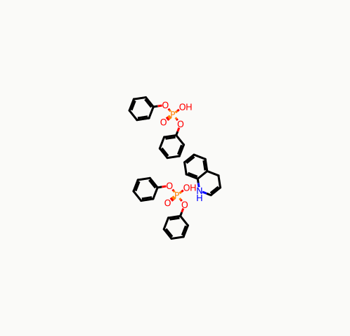 C1=CNc2ccccc2C1.O=P(O)(Oc1ccccc1)Oc1ccccc1.O=P(O)(Oc1ccccc1)Oc1ccccc1